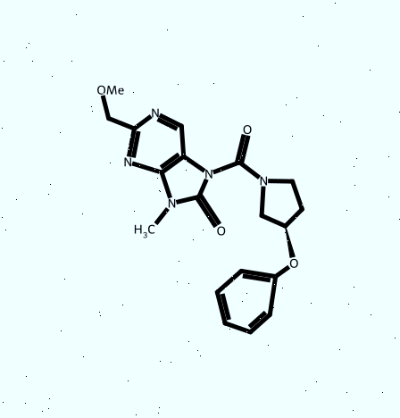 COCc1ncc2c(n1)n(C)c(=O)n2C(=O)N1CC[C@@H](Oc2ccccc2)C1